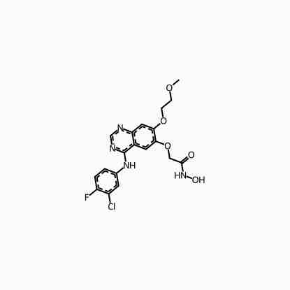 COCCOc1cc2ncnc(Nc3ccc(F)c(Cl)c3)c2cc1OCC(=O)NO